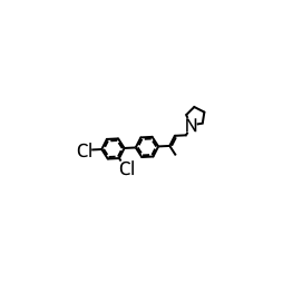 CC(=CCN1CCCC1)c1ccc(-c2ccc(Cl)cc2Cl)cc1